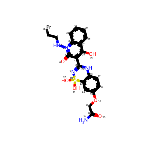 CC(C)CCNn1c(=O)c(C2=NS(O)(O)c3cc(OCC(N)=O)ccc3N2)c(O)c2ccccc21